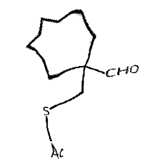 CC(=O)SCC1(C=O)CCCCC1